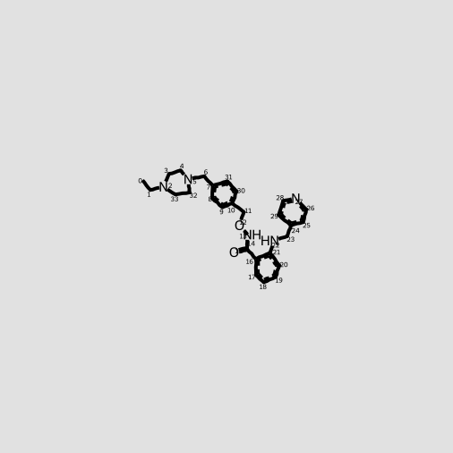 CCN1CCN(Cc2ccc(CONC(=O)c3ccccc3NCc3ccncc3)cc2)CC1